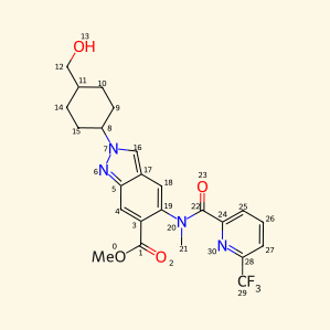 COC(=O)c1cc2nn(C3CCC(CO)CC3)cc2cc1N(C)C(=O)c1cccc(C(F)(F)F)n1